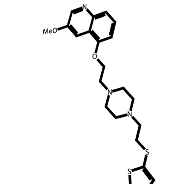 COc1cnc2cccc(OCCN3CCN(CCSc4cccs4)CC3)c2c1